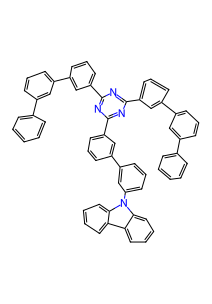 c1ccc(-c2cccc(-c3cccc(-c4nc(-c5cccc(-c6cccc(-c7ccccc7)c6)c5)nc(-c5cccc(-c6cccc(-n7c8ccccc8c8ccccc87)c6)c5)n4)c3)c2)cc1